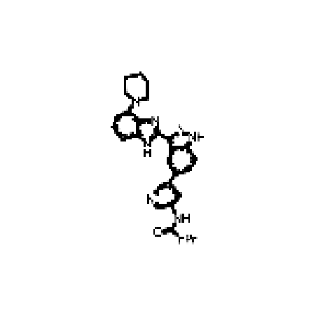 CCCC(=O)Nc1cncc(-c2ccc3[nH]nc(-c4nc5c(N6CCCCC6)cccc5[nH]4)c3c2)c1